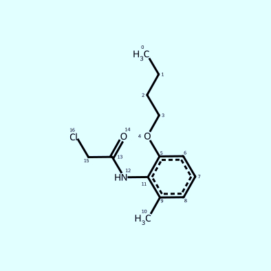 CCCCOc1cccc(C)c1NC(=O)CCl